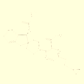 COC(=O)c1nc(SCC2CC2)cnc1N1CCC2(CC1)Cc1ccccc1[C@H]2NC(=O)OC(C)(C)C